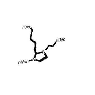 CCCCCCCCCCCCCCC1N(CCCCCCCCC)C=CN1CCCCCCCCCCCC